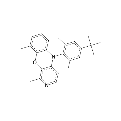 Cc1cccc2c1Oc1c(ccnc1C)N2c1c(C)cc(C(C)(C)C)cc1C